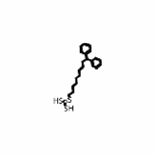 SP(S)SCCCCCCCCCC(c1ccccc1)c1ccccc1